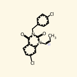 C/C=C\n1c(=O)n(Cc2ccc(Cl)cc2)c(=O)c2ccc(Cl)cc21